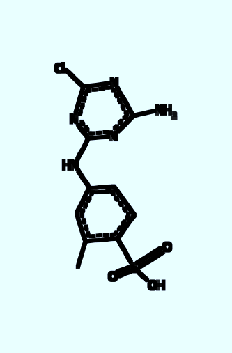 Cc1cc(Nc2nc(N)nc(Cl)n2)ccc1S(=O)(=O)O